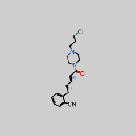 N#Cc1ccccc1/C=C/C=C/C(=O)N1CCN(CCCCl)CC1